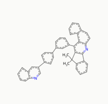 CC1(C)c2ccccc2-c2nc3ccc4ccccc4c3c(-c3cccc(-c4ccc(-c5cnc6ccccc6c5)cc4)c3)c21